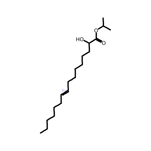 CCCCCC/C=C/CCCCCCC(O)C(=O)OC(C)C